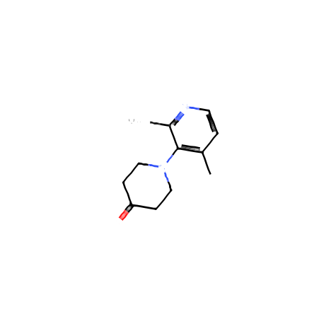 COc1nccc(C)c1N1CCC(=O)CC1